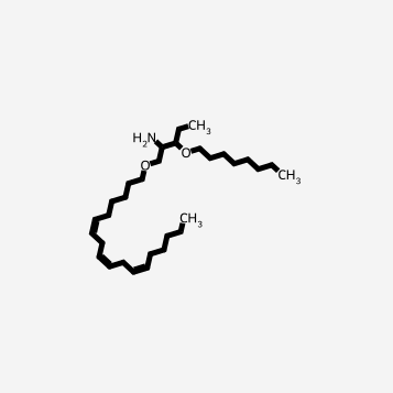 CCCCC/C=C\C/C=C\C/C=C\CCCCCOCC(N)C(CC)OCCCCCCCC